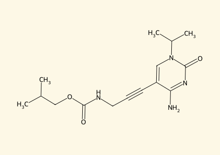 CC(C)COC(=O)NCC#Cc1cn(C(C)C)c(=O)nc1N